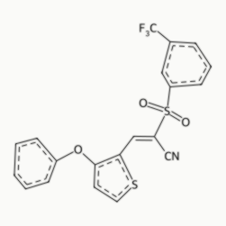 N#C/C(=C\c1sccc1Oc1ccccc1)S(=O)(=O)c1cccc(C(F)(F)F)c1